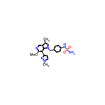 COc1ncc2c(C)cn(Cc3ccc(NS(N)(=O)=O)cc3)c2c1-c1ccn(C)n1